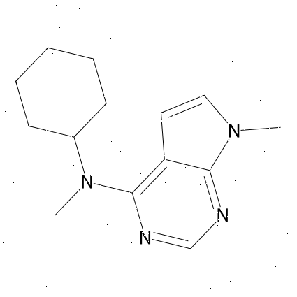 CN(c1ncnc2c1ccn2C)C1CCCCC1